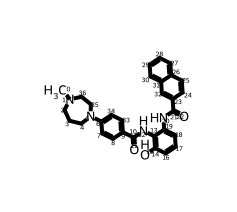 CN1CCCN(c2ccc(C(=O)Nc3c(O)cccc3NC(=O)c3ccc4ccccc4c3)cc2)CC1